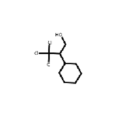 OCC(C1CCCCC1)C(Cl)(Cl)Cl